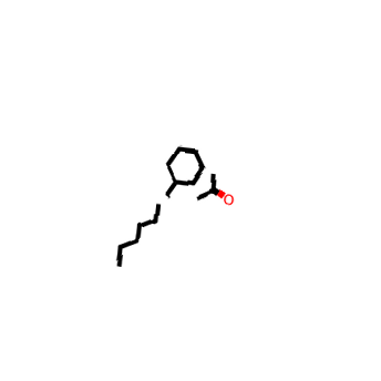 CC(C)=O.CC1CCCCC1.CCCCCC